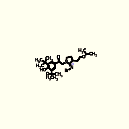 CC(C)OCCC1CCN(CC(=O)c2cc(C(C)(C)C)c(O)c(C(C)(C)C)c2)/C1=N\Br